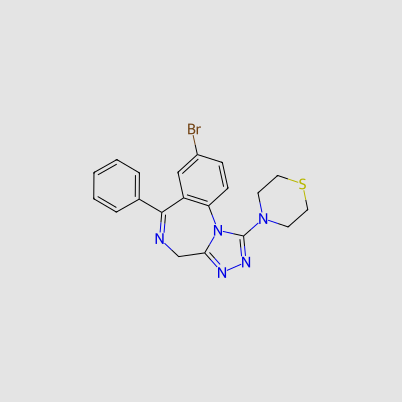 Brc1ccc2c(c1)C(c1ccccc1)=NCc1nnc(N3CCSCC3)n1-2